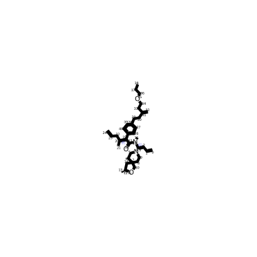 C=C/C=C(\N1CCC2(CC1)CO[C@@H](C)C2)N(C)C(=O)/C(=C(\C)CC=C)c1ccc(CCC(=C)CCOCCC)cc1